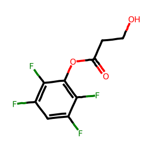 O=C(CCO)Oc1c(F)c(F)cc(F)c1F